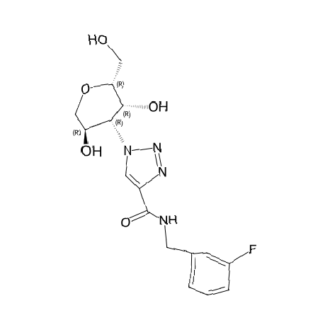 O=C(NCc1cccc(F)c1)c1cn([C@H]2[C@@H](O)[C@@H](CO)OC[C@@H]2O)nn1